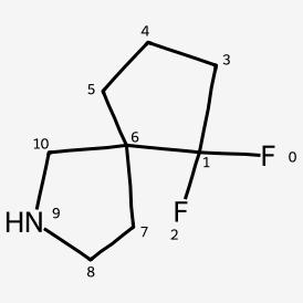 FC1(F)CCCC12CCNC2